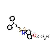 O=C(O)COc1cccc2c1CCc1sc(SCCCC(c3ccccc3)c3ccccc3)nc1-2